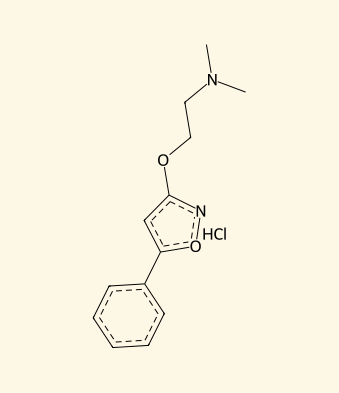 CN(C)CCOc1cc(-c2ccccc2)on1.Cl